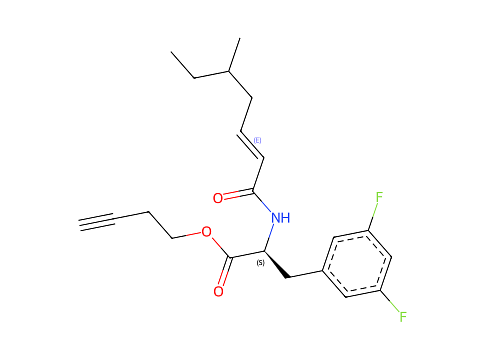 C#CCCOC(=O)[C@H](Cc1cc(F)cc(F)c1)NC(=O)/C=C/CC(C)CC